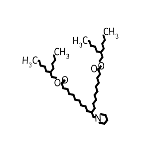 CCCCCC(CCCCC)CCOC(=O)CCCCCCCCCC(CCCCCCCCCC(=O)OCCC(CCCCC)CCCCC)CN1CCCCC1